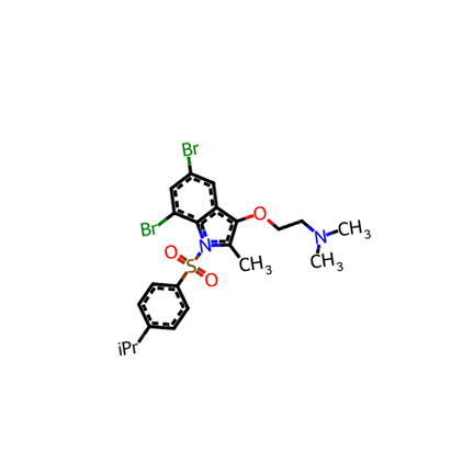 Cc1c(OCCN(C)C)c2cc(Br)cc(Br)c2n1S(=O)(=O)c1ccc(C(C)C)cc1